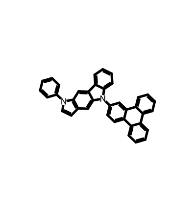 c1ccc(-n2ccc3cc4c(cc32)c2ccccc2n4-c2ccc3c4ccccc4c4ccccc4c3c2)cc1